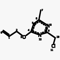 C=CCOc1cc(C)nc(CCl)n1